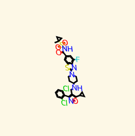 CC1(S(=O)(=O)NC(=O)c2cc(F)c3nc(N4CCC(NCc5c(-c6c(Cl)cccc6Cl)noc5C5CC5)CC4)sc3c2)CC1